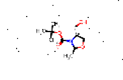 CC1OC[C@@H](CO)N1C(=O)OC(C)(C)C